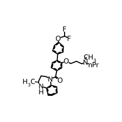 CCCN(C)CCCOc1cc(C(=O)N2CC[C@H](C)Nc3ccccc32)ccc1-c1ccc(OC(F)F)cc1